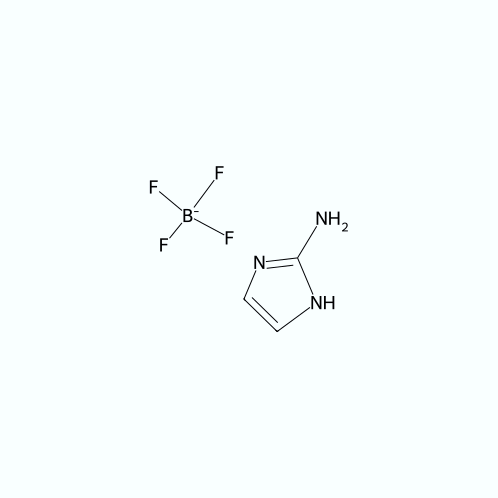 F[B-](F)(F)F.Nc1ncc[nH]1